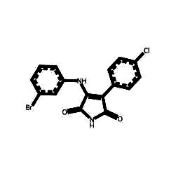 O=C1NC(=O)C(c2ccc(Cl)cc2)=C1Nc1cccc(Br)c1